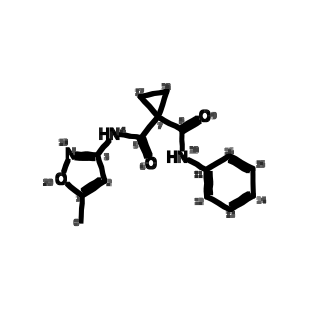 Cc1cc(NC(=O)C2(C(=O)Nc3ccccc3)CC2)no1